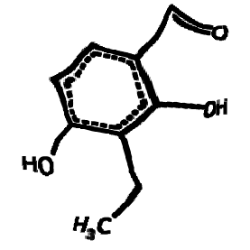 CCc1c(O)ccc(C=O)c1O